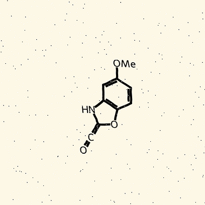 COc1ccc2c(c1)NC(=C=O)O2